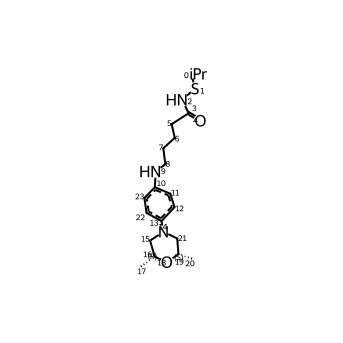 CC(C)SNC(=O)CCCCNc1ccc(N2C[C@@H](C)O[C@@H](C)C2)cc1